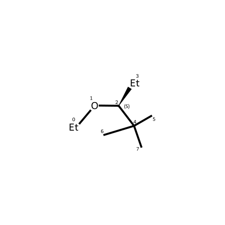 CCO[C@@H](CC)C(C)(C)C